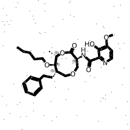 CCCCCO[C@@H]1[C@@H](CCc2ccccc2)COC[C@H](NC(=O)c2nccc(OC)c2O)C(=O)O[C@H]1C